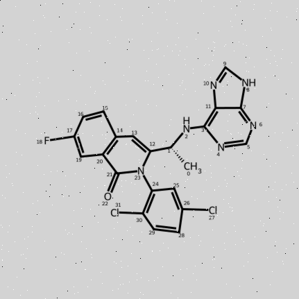 C[C@@H](Nc1ncnc2[nH]cnc12)c1cc2ccc(F)cc2c(=O)n1-c1cc(Cl)ccc1Cl